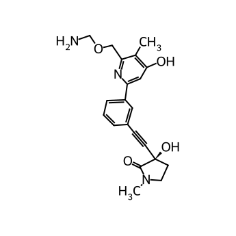 Cc1c(O)cc(-c2cccc(C#C[C@]3(O)CCN(C)C3=O)c2)nc1COCN